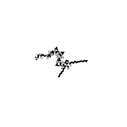 CCCCCCCCCCCC(=O)N1CCC[C@H]1N(C=O)[C@@H](CCCCCCCC)C(=O)N[C@@H](CC(C)C)C(=O)NC(C)(C)C(=O)N[C@@H](CC(C)C)C(=O)N[C@@H](CC(C)C)C(=O)NC(C)(C)C(=O)NC(C)(C)C(=O)NCCC(=O)N[C@@H](C)CN(C)C